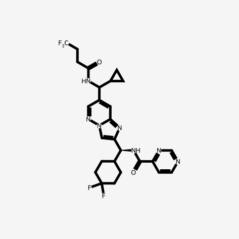 O=C(CCC(F)(F)F)NC(c1cnn2cc([C@@H](NC(=O)c3ccncn3)C3CCC(F)(F)CC3)nc2c1)C1CC1